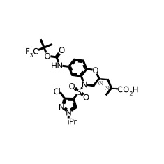 CC(C)n1cc(S(=O)(=O)N2C[C@H](C[C@H](C)C(=O)O)Oc3ccc(NC(=O)OC(C)(C)C(F)(F)F)cc32)c(Cl)n1